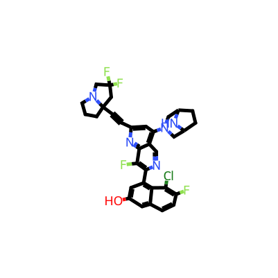 Oc1cc(-c2ncc3c(N4CC5CCC(C4)N5)cc(C#CC45CCCN4CC(F)(F)C5)nc3c2F)c2c(Cl)c(F)ccc2c1